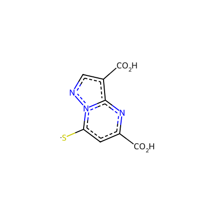 O=C(O)c1cc([S])n2ncc(C(=O)O)c2n1